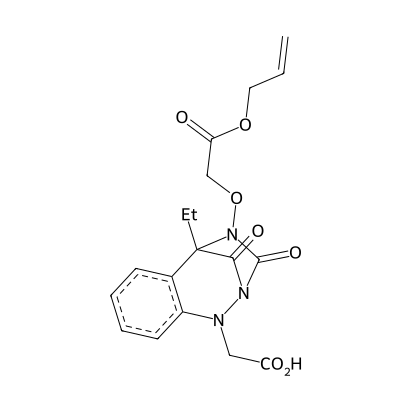 C=CCOC(=O)CON1C(=O)N2C(=O)C1(CC)c1ccccc1N2CC(=O)O